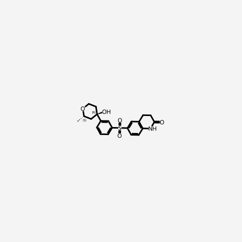 C[C@H]1C[C@@](O)(c2cccc(S(=O)(=O)c3ccc4c(c3)CCC(=O)N4)c2)CCO1